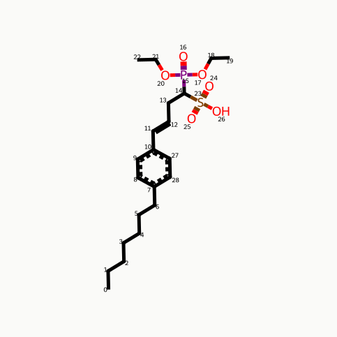 CCCCCCCc1ccc(/C=C/CC(P(=O)(OCC)OCC)S(=O)(=O)O)cc1